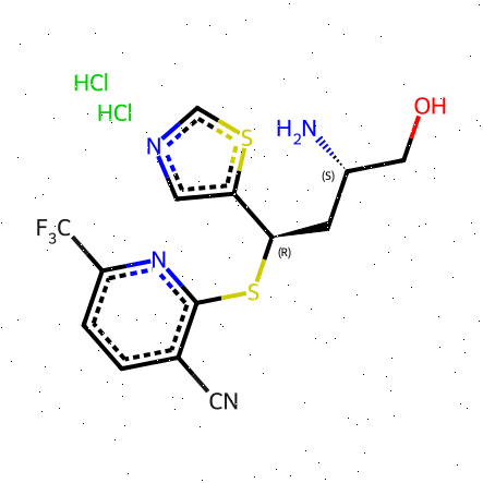 Cl.Cl.N#Cc1ccc(C(F)(F)F)nc1S[C@H](C[C@H](N)CO)c1cncs1